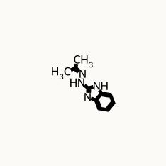 CC(C)=NNc1nc2ccccc2[nH]1